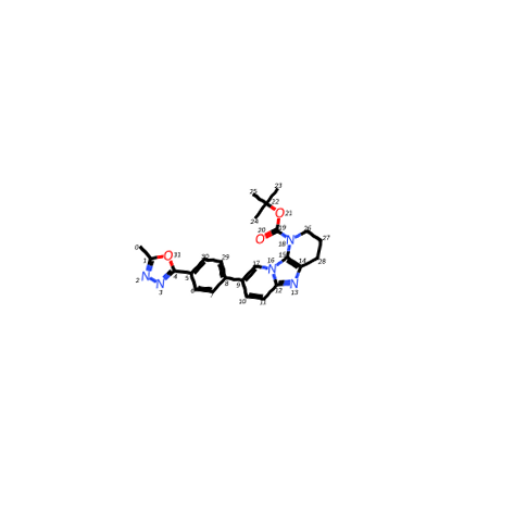 Cc1nnc(-c2ccc(-c3ccc4nc5c(n4c3)N(C(=O)OC(C)(C)C)CCC5)cc2)o1